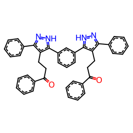 O=C(CCc1c(-c2ccccc2)n[nH]c1-c1cccc(-c2[nH]nc(-c3ccccc3)c2CCC(=O)c2ccccc2)c1)c1ccccc1